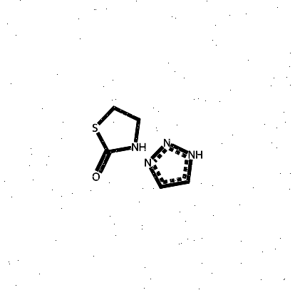 O=C1NCCS1.c1c[nH]nn1